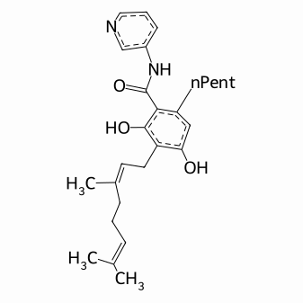 CCCCCc1cc(O)c(CC=C(C)CCC=C(C)C)c(O)c1C(=O)Nc1cccnc1